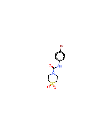 O=C(Nc1ccc(Br)cc1)N1CCS(=O)(=O)CC1